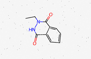 CCn1[nH]c(=O)c2ccccc2c1=O